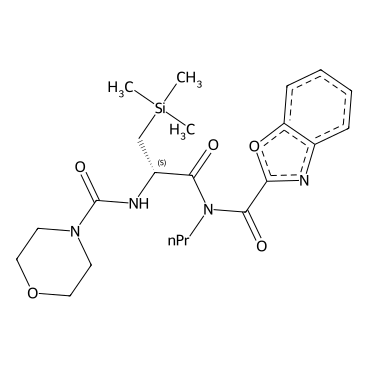 CCCN(C(=O)c1nc2ccccc2o1)C(=O)[C@@H](C[Si](C)(C)C)NC(=O)N1CCOCC1